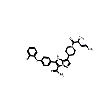 C/C=C/C(C)C(=O)N1CCC(c2cnn3c(C(N)=O)c(-c4ccc(Oc5ccccc5F)cc4)[nH]c23)CC1